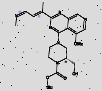 C/N=C\C=C(/C)c1nc(N2CCN(C(=O)OC(C)(C)C)[C@@H](CO)C2)c2c(OC)cncc2n1